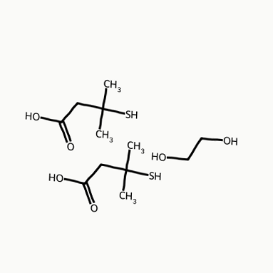 CC(C)(S)CC(=O)O.CC(C)(S)CC(=O)O.OCCO